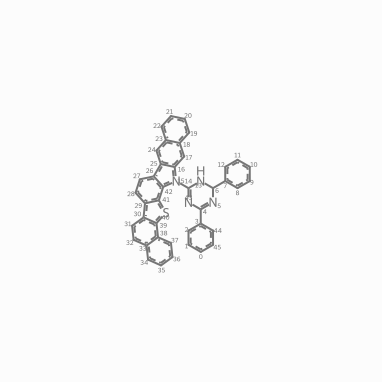 c1ccc(C2=NC(c3ccccc3)NC(n3c4cc5ccccc5cc4c4ccc5c6ccc7ccccc7c6sc5c43)=N2)cc1